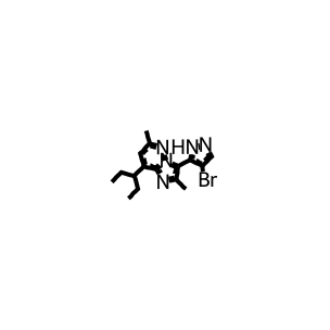 CCC(CC)c1cc(C)nn2c(-c3[nH]ncc3Br)c(C)nc12